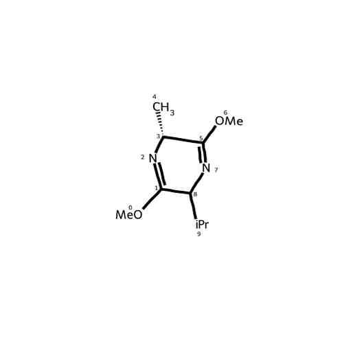 COC1=N[C@H](C)C(OC)=NC1C(C)C